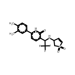 Cc1ccc(-c2ccc(C(NC3C=CS(=O)(=O)C3)C(F)(F)F)c(=O)[nH]2)cc1C